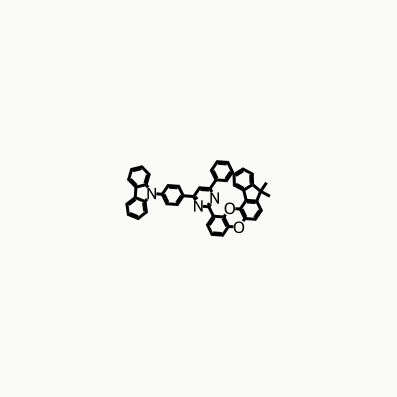 CC1(C)c2ccccc2-c2c1ccc1c2Oc2c(cccc2-c2nc(-c3ccccc3)cc(-c3ccc(-n4c5ccccc5c5ccccc54)cc3)n2)O1